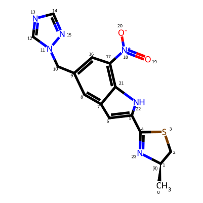 C[C@@H]1CSC(c2cc3cc(Cn4cncn4)cc([N+](=O)[O-])c3[nH]2)=N1